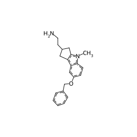 Cn1c2c(c3cc(OCc4ccccc4)ccc31)CC(CCN)C2